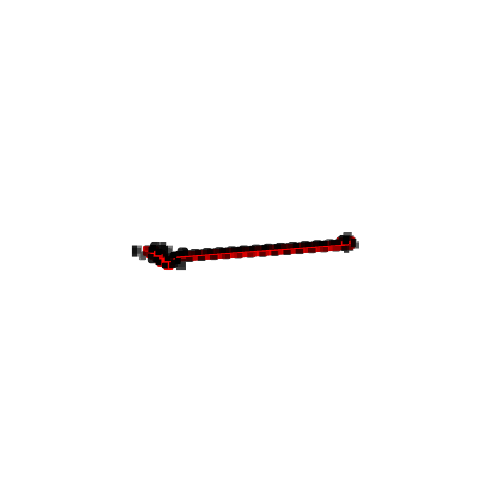 CCCN(CCC)C(=O)C1=Cc2ccc(-c3cccc(S(=O)(=O)N4CC(CNC(=O)CCOCCOCCOCCOCCOCCOCCOCCOCCOCCOCCOCCOCCOCCOCCOCCOCCOCCOCCOCCOCCOCCOCCOCCOCCOCCC(=O)Oc5c(F)c(F)cc(F)c5F)C4)c3)cc2N=C(N)C1